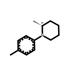 Cc1ccc(N2CCCC[C@H]2C)cc1